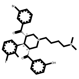 Cc1c(F)cccc1[C@@H]1[C@@H](C(=O)c2cccc(O)c2)CN(CCCCN(C)C)C[C@H]1C(=O)c1cccc(Br)c1